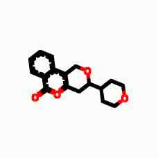 O=c1oc2c(c3ccccc13)COC(C1CCOCC1)C2